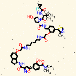 Cc1ncsc1-c1ccc(CNC(=O)[C@@H]2C[C@@H](O)CN2C(=O)[C@@H](NC(=O)C2(F)CC2)C(C)(C)C)c(OCC(=O)NCCCCCCNC(=O)COc2ccc3c(c2)[C@H](NC(=O)c2cc(-c4ccc(C(=O)N(C)C)c(O)c4)on2)CC3)c1